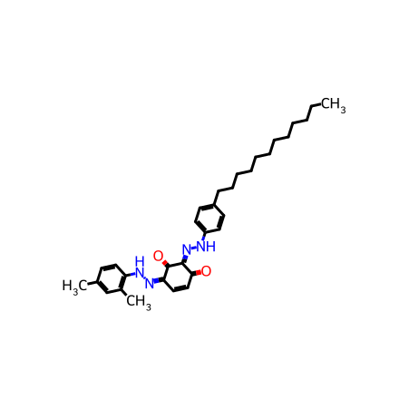 CCCCCCCCCCCCc1ccc(N/N=c2\c(=O)cc/c(=N/Nc3ccc(C)cc3C)c2=O)cc1